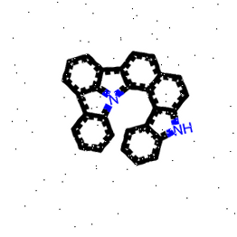 c1ccc2c(c1)[nH]c1ccc3ccc4c5cccc6c7ccccc7n(c65)c4c3c12